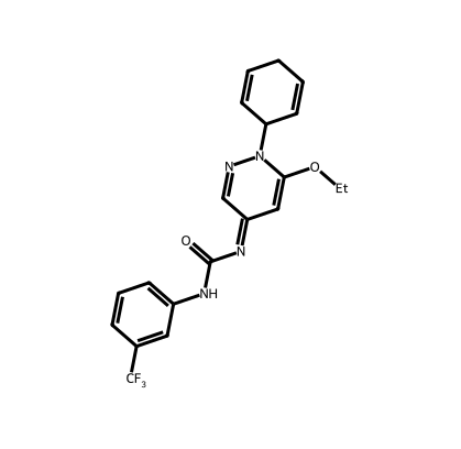 CCOc1cc(=NC(=O)Nc2cccc(C(F)(F)F)c2)cnn1C1C=CCC=C1